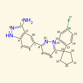 Nc1n[nH]c2ccc(-c3ccc(C4(c5ccc(F)cc5)CCCC4)nn3)cc12